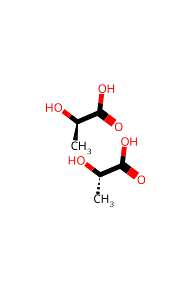 C[C@@H](O)C(=O)O.C[C@H](O)C(=O)O